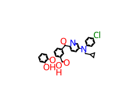 O=C(c1ccc(Oc2ccccc2O)c(C(=O)O)c1)c1ccc(N(CC2CC2)c2ccc(Cl)cc2)cn1